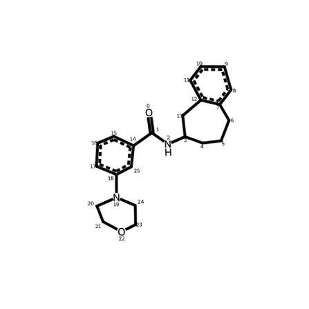 O=C(NC1CCCc2ccccc2C1)c1cccc(N2CCOCC2)c1